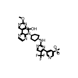 COc1ncc(-c2nccnc2N(C(=O)O)[C@H]2CC[C@H](Nc3ncc(C(F)(F)F)c(-c4cncc(S(C)(=O)=O)c4)n3)CC2)cn1